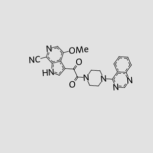 COc1cnc(C#N)c2[nH]cc(C(=O)C(=O)N3CCN(c4ncnc5ccccc45)CC3)c12